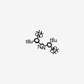 CC(C)(C)c1cc(B2OC(C)(C)C(C)(C)O2)cc(-c2cc(-c3cc(B4OC(C)(C)C(C)(C)O4)cc(C(C)(C)C)c3)ncn2)c1